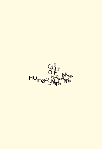 O=C([O-])C(F)(F)F.OCCOCC[n+]1ccc(-c2ncccn2)cn1